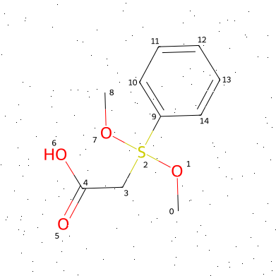 COS(CC(=O)O)(OC)c1ccccc1